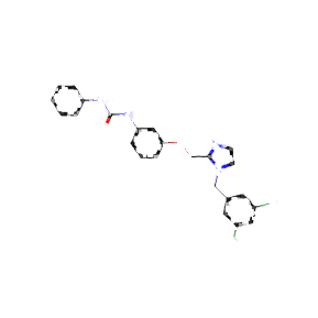 O=C(Nc1ccccc1)Nc1cccc(OCc2nccn2Cc2cc(Cl)cc(Cl)c2)c1